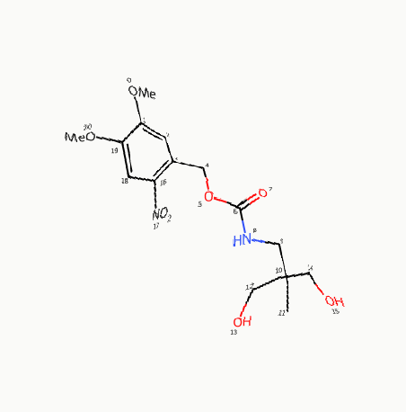 COc1cc(COC(=O)NCC(C)(CO)CO)c([N+](=O)[O-])cc1OC